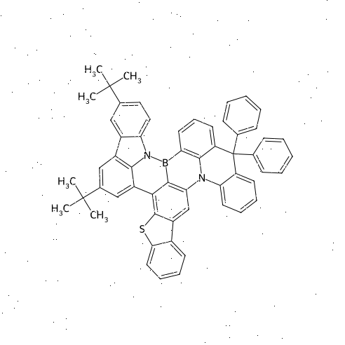 CC(C)(C)c1ccc2c(c1)c1cc(C(C)(C)C)cc3c1n2B1c2cccc4c2N(c2ccccc2C4(c2ccccc2)c2ccccc2)c2cc4c(sc5ccccc54)c-3c21